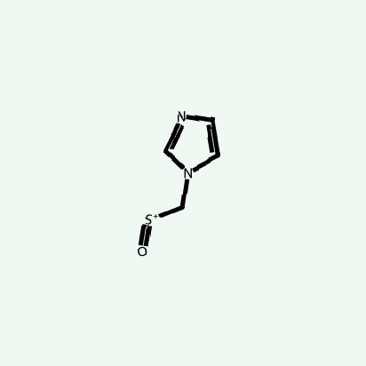 O=[S+]Cn1ccnc1